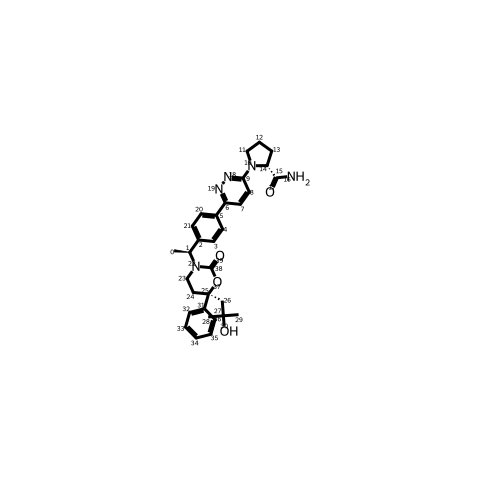 C[C@@H](c1ccc(-c2ccc(N3CCC[C@@H]3C(N)=O)nn2)cc1)N1CC[C@](CC(C)(C)O)(c2ccccc2)OC1=O